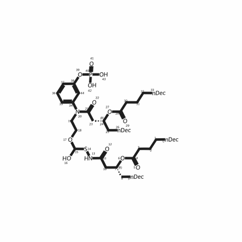 CCCCCCCCCCCCCC(=O)O[C@H](CCCCCCCCCCC)CC(=O)NSC(O)OCCN(C(=O)C[C@@H](CCCCCCCCCCC)OC(=O)CCCCCCCCCCCCC)c1cccc(OP(=O)(O)O)c1